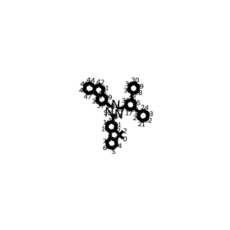 CC1(C)c2ccccc2-c2ccc(-c3nc(-c4cc(-c5ccccc5)cc(-c5ccccc5)c4)nc(-c4ccc5c(ccc6ccccc65)c4)n3)cc21